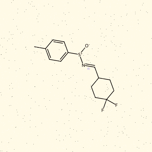 Cc1ccc([S+]([O-])/N=C/C2CCC(F)(F)CC2)cc1